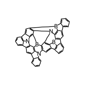 c1ccc2c(c1)B1c3cc4c5cccc6c7cc8c9ccccc9n9c8c8c7n(c4c4c3N3c7c1c-2cc1c7B2c7c-1cccc7-c1cc-9c(c3c12)B48)c56